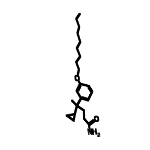 CCCCCCCCCOc1cccc(C(C)(CCC(N)=O)C2CC2)c1